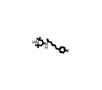 C=C(C/C=C/Cc1ccc(F)cc1)NC1CC(C)(C)NC(C)(C)C1